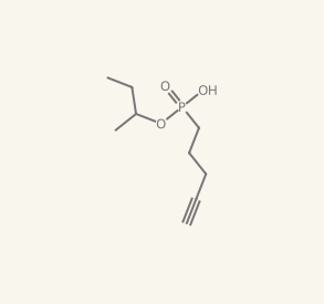 C#CCCCP(=O)(O)OC(C)CC